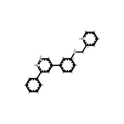 c1ccc(-c2cc(-c3cccc(OCc4ccccn4)c3)cnn2)cc1